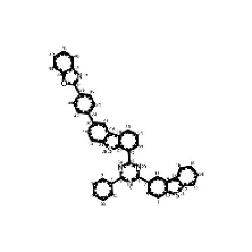 c1ccc(-c2nc(-c3ccc4sc5ccccc5c4c3)nc(-c3cccc4c3sc3ccc(-c5ccc(-c6nc7ccccc7o6)cc5)cc34)n2)cc1